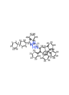 c1ccc(-c2ccc(-c3nn(CNc4cc5c(cc4-c4ccccc4)C(c4ccccc4)(c4ccccc4)c4ccccc4-5)c4ccccc34)cc2)cc1